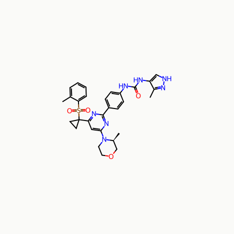 Cc1ccccc1S(=O)(=O)C1(c2cc(N3CCOC[C@@H]3C)nc(-c3ccc(NC(=O)Nc4c[nH]nc4C)cc3)n2)CC1